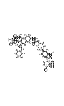 Cn1nc(C2CCC(=O)NC2=O)c2ccc(N3CCC(CC(=O)Nc4ccc5c(F)c(N6CC(=O)NS6(=O)=O)c(OCc6ccccc6)cc5c4)CC3)cc21